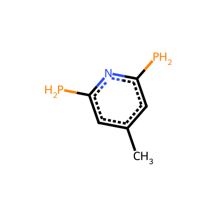 Cc1cc(P)nc(P)c1